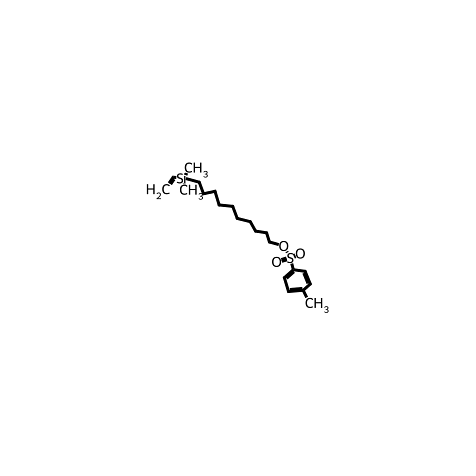 C=C[Si](C)(C)CCCCCCCCCCOS(=O)(=O)c1ccc(C)cc1